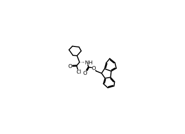 O=C(N[C@H](C(=O)Cl)C1CCCCC1)OCC1c2ccccc2-c2ccccc21